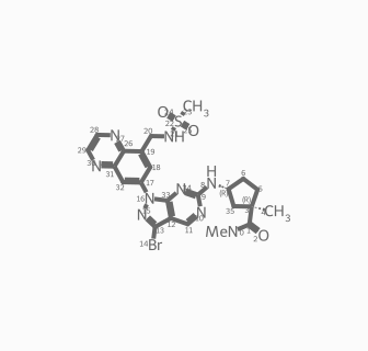 CNC(=O)[C@]1(C)CC[C@@H](Nc2ncc3c(Br)nn(-c4cc(CNS(C)(=O)=O)c5nccnc5c4)c3n2)C1